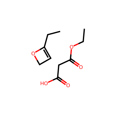 CCC1=CCO1.CCOC(=O)CC(=O)O